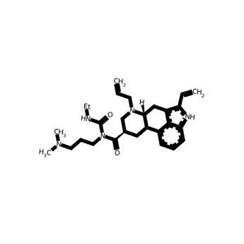 C=CCN1C[C@H](C(=O)N(CCCN(C)C)C(=O)NCC)CC2c3cccc4[nH]c(C=C)c(c34)C[C@H]21